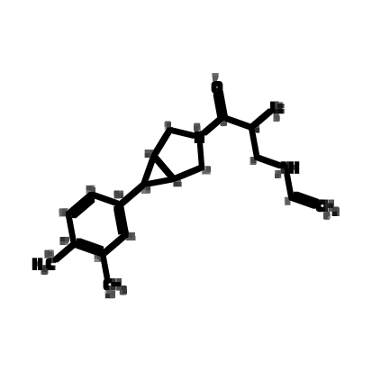 C=CNCC(CC)C(=O)N1CC2C(C1)C2c1ccc(C)c(C)c1